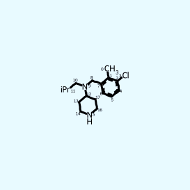 Cc1c(Cl)cccc1CN(CC(C)C)C1CCNCC1